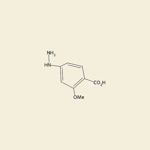 COc1cc(NN)ccc1C(=O)O